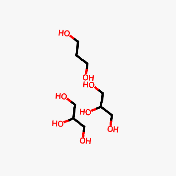 OCC(O)CO.OCC(O)CO.OCCCO